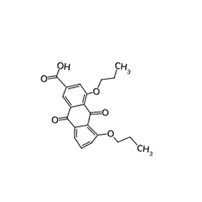 CCCOc1cccc2c1C(=O)c1c(OCCC)cc(C(=O)O)cc1C2=O